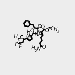 CCOC(=O)/C(=C/CCCC(N)=O)N(NC(=O)c1ccc(C(C)CC(F)(F)F)[nH]1)C(=O)CCc1ccccc1